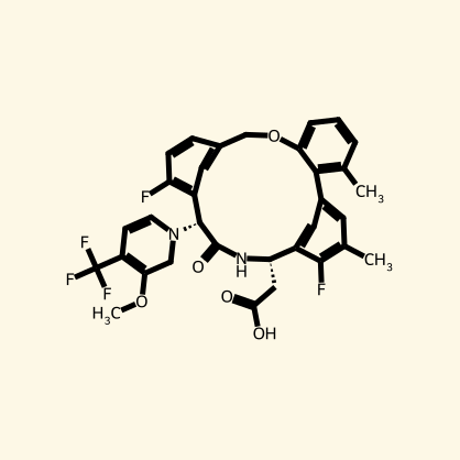 COC1=C(C(F)(F)F)C=CN([C@H]2C(=O)N[C@@H](CC(=O)O)c3cc(cc(C)c3F)-c3c(C)cccc3OCc3ccc(F)c2c3)C1